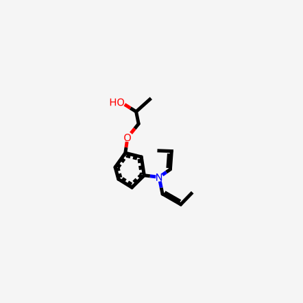 C/C=C\N(/C=C\C)c1cccc(OCC(C)O)c1